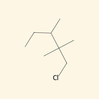 CCC(C)C(C)(C)CCl